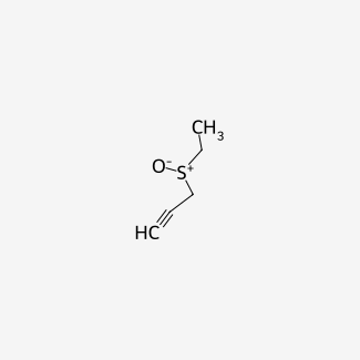 C#CC[S+]([O-])CC